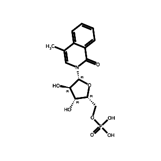 Cc1cn([C@@H]2O[C@H](COP(=O)(O)O)[C@H](O)[C@H]2O)c(=O)c2ccccc12